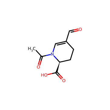 CC(=O)N1C=C(C=O)CC[C@H]1C(=O)O